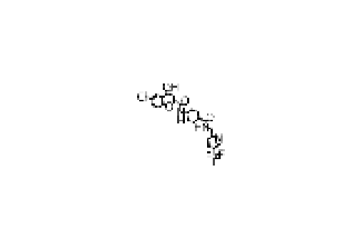 O=C(NCc1ccc(C(F)(F)F)cn1)C1CCC(NC(=O)[C@H]2C[C@H](O)c3cc(Cl)ccc3O2)CC1